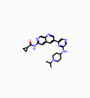 CC(C)N1CCC(Nc2cncc(-c3cnc4cnc(NC(=O)C5CC5)cc4c3)n2)CC1